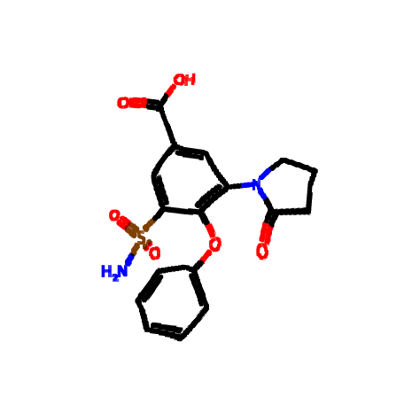 NS(=O)(=O)c1cc(C(=O)O)cc(N2CCCC2=O)c1Oc1ccccc1